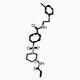 C=CC(=O)N[C@H]1CCCN(S(=O)(=O)c2ccc(C(=O)NCCc3cccc(C)c3)cc2)C1